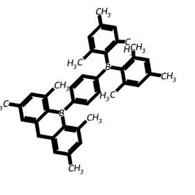 Cc1cc(C)c(B(c2ccc(B3c4c(C)cc(C)cc4Cc4cc(C)cc(C)c43)cc2)c2c(C)cc(C)cc2C)c(C)c1